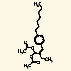 CCCCCCCc1ccc(C=C(CC)C(OC(C)=O)OC(C)=O)cc1